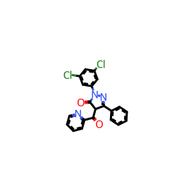 O=C(c1ccccn1)C1C(=O)N(c2cc(Cl)cc(Cl)c2)N=C1c1ccccc1